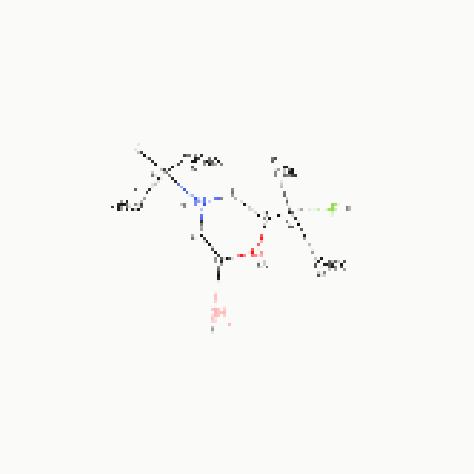 BC1CN(C(C)(CCCCCC)CCCCCC)CC(C(F)(CCCC)CCCCCC)O1